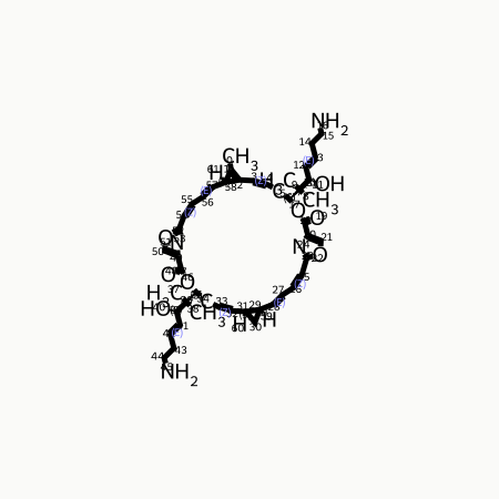 CC1=C2/C=C\C[C@@H](C(C)(C)[C@@H](O)/C=C/CCN)OC(=O)c3coc(n3)/C=C\C=C\[C@@H]3C[C@@H]3/C=C\C[C@@H](C(C)(C)[C@@H](O)/C=C/CCN)OC(=O)c3coc(n3)/C=C\C=C\[C@H]12